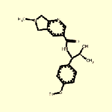 CCSc1ccc(C(NC(=O)c2cnc3c(c2)CN(C)C3)[C@H](C)O)cc1